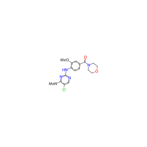 CNc1nc(Nc2ccc(C(=O)N3CCOCC3)cc2OC)ncc1Cl